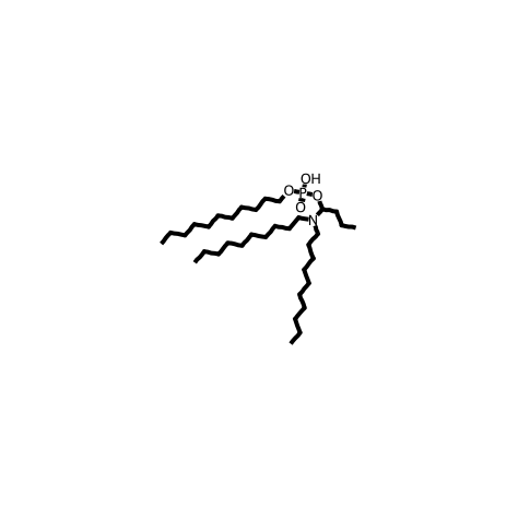 CCCCCCCCCCCOP(=O)(O)OC(CCC)N(CCCCCCCCCC)CCCCCCCCCC